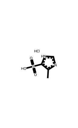 Cc1nc[nH]c1S(=O)(=O)O.Cl